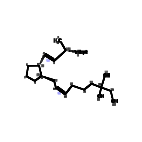 CCCCCCC[C@@H](C)/C=C/[C@H]1CCC[C@@H]1C/C=C\CCCC(O)(O)CO